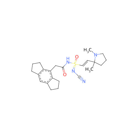 CN1CCCC1(C)C=CS(=O)(=NC#N)NC(=O)Cc1c2c(cc3c1CCC3)CCC2